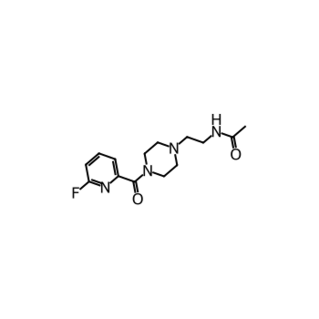 CC(=O)NCCN1CCN(C(=O)c2cccc(F)n2)CC1